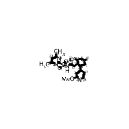 COc1cc(-c2cc(F)cc(C(C)C)c2CC(=O)NS(=O)(=O)c2nc(C)cc(C)n2)ccn1